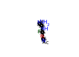 CC(=O)N1CCC(OCc2ccc(CNc3ccc4c(N)nccc4c3)c(F)c2)CC1